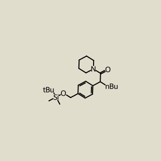 CCCCC(C(=O)N1CCCCC1)c1ccc(CO[Si](C)(C)C(C)(C)C)cc1